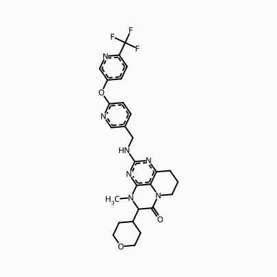 CN1c2nc(NCc3ccc(Oc4ccc(C(F)(F)F)nc4)nc3)nc3c2N(CCC3)C(=O)C1C1CCOCC1